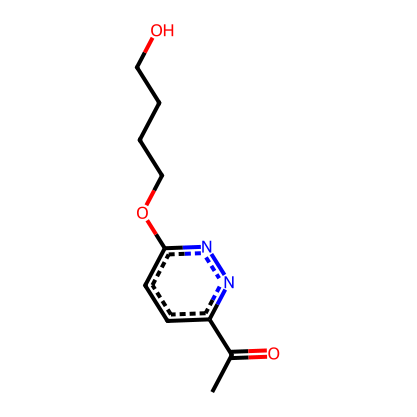 CC(=O)c1ccc(OCCCCO)nn1